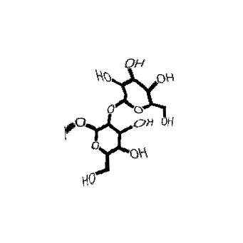 OCC1OC(OC2C(OI)OC(CO)C(O)C2O)C(O)C(O)C1O